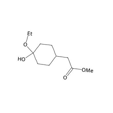 CCOC1(O)CCC(CC(=O)OC)CC1